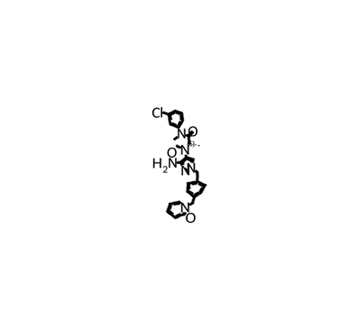 C[C@@H](C(=O)N(C)c1cccc(Cl)c1)N(C=O)c1cn(Cc2ccc(Cn3ccccc3=O)cc2)nc1N